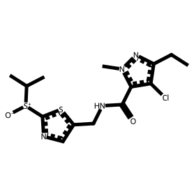 CCc1nn(C)c(C(=O)NCc2cnc([S+]([O-])C(C)C)s2)c1Cl